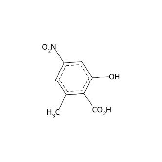 Cc1cc([N+](=O)[O-])cc(O)c1C(=O)O